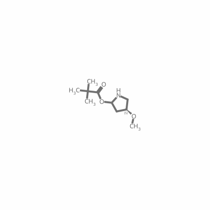 CO[C@@H]1CNC(OC(=O)C(C)(C)C)C1